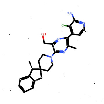 Cc1nc(N2CCC3(CC2)Cc2ccccc2[C@H]3C)c(CO)nc1-c1ccnc(N)c1Cl